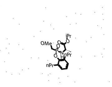 CCCc1cccc(CCC)c1OP(=O)(COC)N[C@@H](C)C(=O)OC(C)C